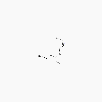 CCC/C=C\COC(C)CCCCCCCC